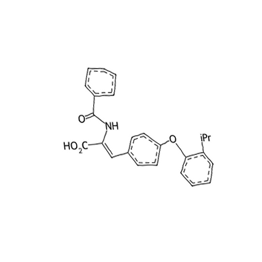 CC(C)c1ccccc1Oc1ccc(C=C(NC(=O)c2ccccc2)C(=O)O)cc1